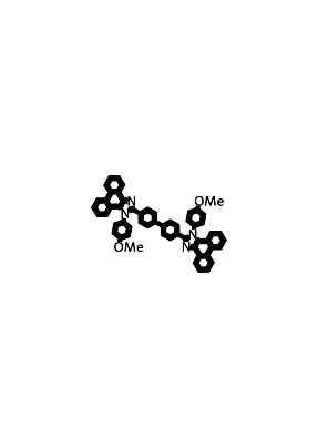 COc1ccc(-n2c(-c3ccc(-c4ccc(-c5nc6c7ccccc7c7ccccc7c6n5-c5ccc(OC)cc5)cc4)cc3)nc3c4ccccc4c4ccccc4c32)cc1